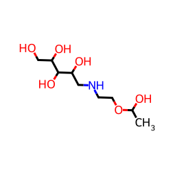 CC(O)OCCNCC(O)C(O)C(O)CO